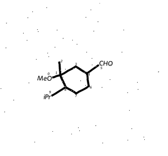 COC1(C)CC(C=O)CCC1C(C)C